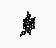 Cc1cc(C)c(NC2=C(C(=O)C3=C(Nc4c(C)cc(C)cc4C(c4ccc(F)cc4)c4ccc(F)cc4)c4cccc5cccc3c45)c3cccc4cccc2c34)c(C(c2ccc(F)cc2)c2ccc(F)cc2)c1